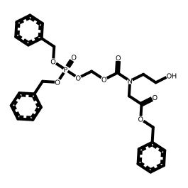 O=C(CN(CCO)C(=O)OCOP(=O)(OCc1ccccc1)OCc1ccccc1)OCc1ccccc1